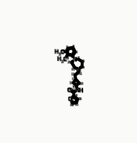 Cc1cccc(N2CCCN(CCC3CC(NC(=O)c4ccco4)C3)CC2)c1C